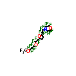 FC(OC(F)(F)C(F)(F)C(F)(F)OC(F)(F)F)C(F)(F)C1CCC(C(F)(F)C(F)N2C(F)(F)C(F)(F)OC(F)(F)C2(F)F)O1